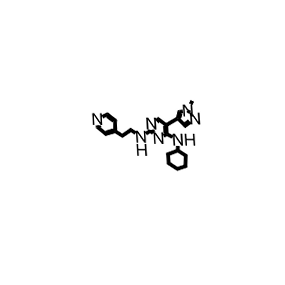 Cn1cc(-c2cnc(NCCc3ccncc3)nc2NC2CCCCC2)cn1